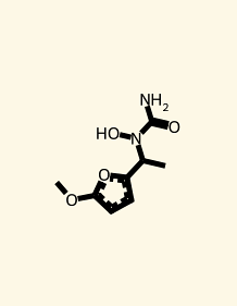 COc1ccc(C(C)N(O)C(N)=O)o1